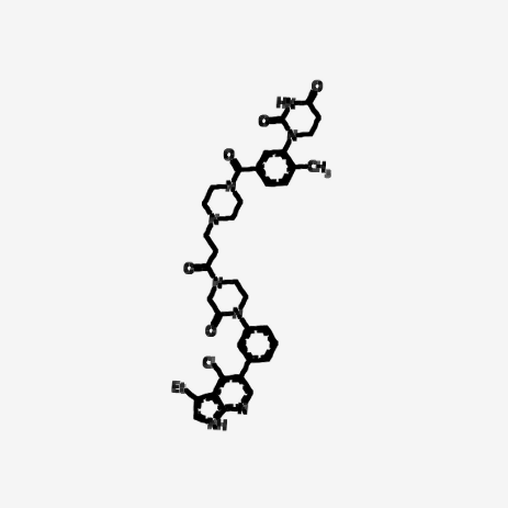 CCc1c[nH]c2ncc(-c3cccc(N4CCN(C(=O)CCN5CCN(C(=O)c6ccc(C)c(N7CCC(=O)NC7=O)c6)CC5)CC4=O)c3)c(Cl)c12